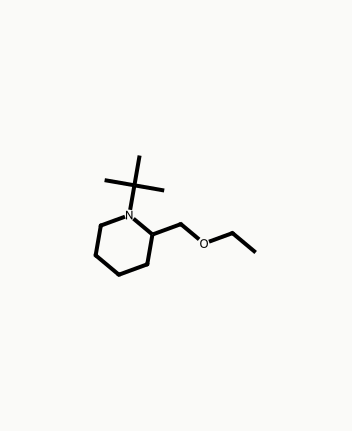 CCOCC1CCCCN1C(C)(C)C